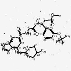 COC(=O)C[C@H](NC(=O)CNC(=O)c1cc(NC2=NCC(F)CN2)c2cn[nH]c2c1)c1cccc(OC(F)(F)F)c1